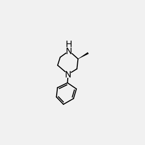 C[C@H]1CN(c2ccccc2)CCN1